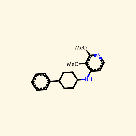 COc1nccc(NC2CCC(c3ccccc3)CC2)c1OC